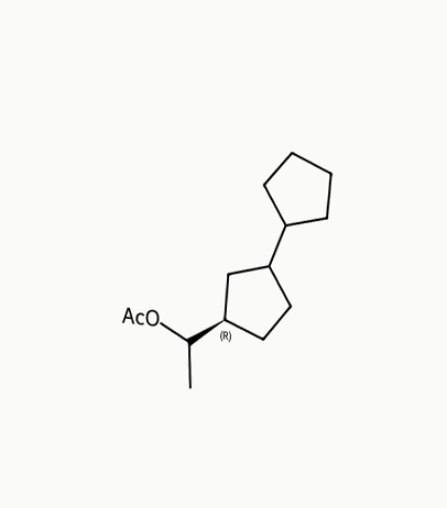 CC(=O)OC(C)[C@@H]1CCC(C2CCCC2)C1